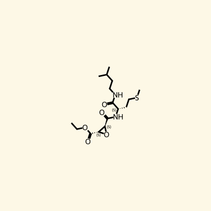 CCOC(=O)[C@H]1O[C@@H]1C(=O)N[C@@H](CCSC)C(=O)NCCC(C)C